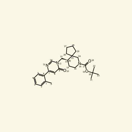 Cc1ccccc1-c1cc(=O)n(C[C@@H]2CCN(C(=O)OC(C)(C)C)CC23CCCC3)cn1